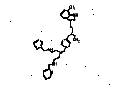 CCN(CCc1c[nH]c2c(C)cccc12)Cc1ccc(CN(CCNCc2ccccn2)CCNCc2ccccn2)cc1